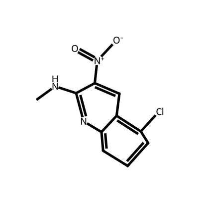 CNc1nc2cccc(Cl)c2cc1[N+](=O)[O-]